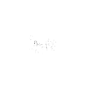 CC(C)OC(=O)[C@@H](C)N[P@](=O)(OC[C@H]1O[C@@H](n2cnc3c(N)nc(N)nc32)[C@](F)(Cl)[C@@H]1O)Oc1ccccc1